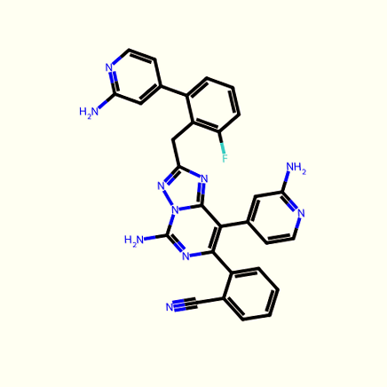 N#Cc1ccccc1-c1nc(N)n2nc(Cc3c(F)cccc3-c3ccnc(N)c3)nc2c1-c1ccnc(N)c1